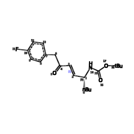 CCCC[C@H](/C=C/C(=O)Cc1ccc(F)cc1)NC(=O)OC(C)(C)C